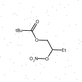 CCC(COC(=O)C(C)(C)C)O[N+](=O)[O-]